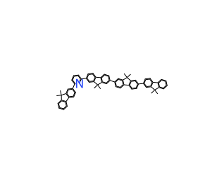 CC1(C)c2ccccc2-c2ccc(-c3ccc4c(c3)C(C)(C)c3cc(-c5ccc6c(c5)C(C)(C)c5cc(-c7cccc(-c8ccc9c(c8)C(C)(C)c8ccccc8-9)n7)ccc5-6)ccc3-4)cc21